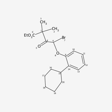 CCOC(=O)C(C)(C)C(=O)C(Br)Oc1ccccc1C1CCCCC1